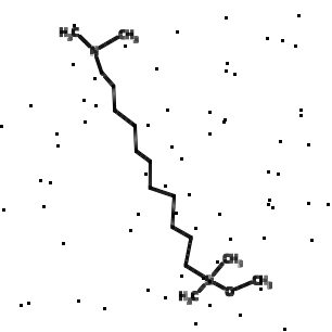 CO[Si](C)(C)CCCCCCCCCCCN(C)C